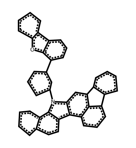 c1cc(-c2cccc3c2oc2ccccc23)cc(-n2c3cc4c5c(cccc5c3c3ccc5ccccc5c32)-c2ccccc2-4)c1